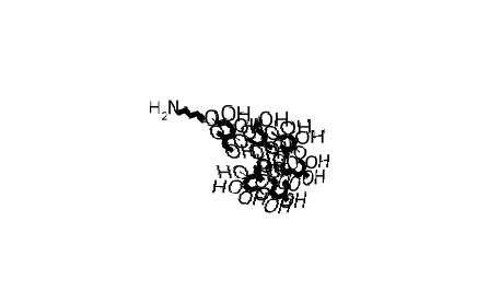 NCCCCCO[C@H]1OC(CO)[C@@H](O[C@@H]2OC(CO)[C@@H](O[C@@H]3OC(CO)[C@@H](O[C@H]4OC(CO)[C@H](O[C@H]5OC(CO)[C@@H](O[C@@H]6OC(CO)[C@@H](O)C(O)C6O)C(O)C5O)C(O)C4O)C(O)C3O)C(O)C2O)C(O)C1O